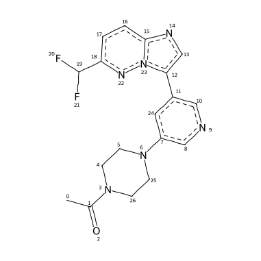 CC(=O)N1CCN(c2cncc(-c3cnc4ccc(C(F)F)nn34)c2)CC1